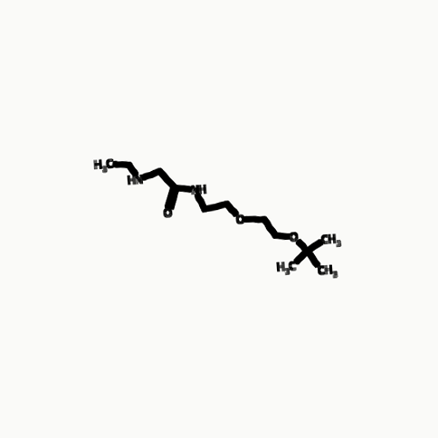 CCNCC(=O)NCCOCCOC(C)(C)C